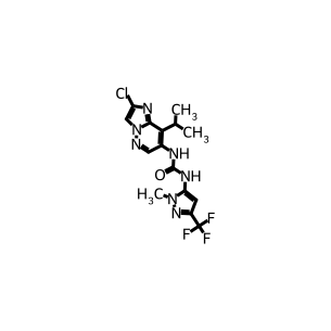 CC(C)c1c(NC(=O)Nc2cc(C(F)(F)F)nn2C)cnn2cc(Cl)nc12